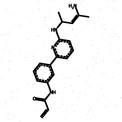 C=CC(=O)Nc1cccc(-c2cccc(NC(C)/C=C(/C)N)n2)c1